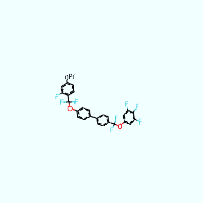 CCCc1ccc(C(F)(F)Oc2ccc(-c3ccc(C(F)(F)Oc4cc(F)c(F)c(F)c4)cc3)cc2)c(F)c1